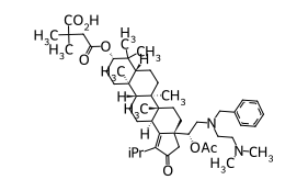 CC(=O)O[C@@H](CN(CCN(C)C)Cc1ccccc1)[C@@]12CC[C@]3(C)[C@H](CC[C@@H]4[C@@]5(C)CC[C@H](OC(=O)CC(C)(C)C(=O)O)C(C)(C)[C@@H]5CC[C@]43C)C1=C(C(C)C)C(=O)C2